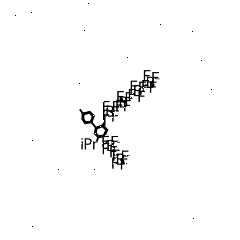 Cc1ccc(-c2cc(C(C)C)ccc2I)cc1.F[B-](F)(F)F.F[B-](F)(F)F.F[B-](F)(F)F.F[B-](F)(F)F.F[B-](F)(F)F.F[B-](F)(F)F